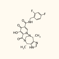 C[C@@H]1c2nc[nH]c2[C@H](C)N2CN1n1cc(C(=O)NCc3ccc(F)cc3F)c(=O)c(O)c1C2=O